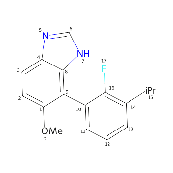 COc1ccc2nc[nH]c2c1-c1cccc(C(C)C)c1F